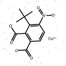 CC(C)(C)c1c([N+](=O)[O-])ccc(C(=O)[O-])c1C(=O)[O-].[Cu+2]